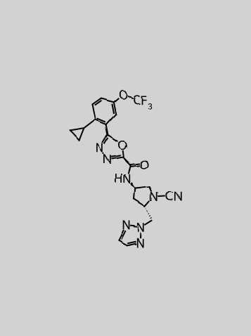 N#CN1C[C@H](NC(=O)c2nnc(-c3cc(OC(F)(F)F)ccc3C3CC3)o2)C[C@H]1Cn1nccn1